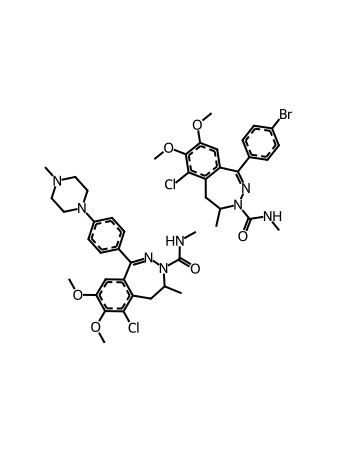 CNC(=O)N1N=C(c2ccc(Br)cc2)c2cc(OC)c(OC)c(Cl)c2CC1C.CNC(=O)N1N=C(c2ccc(N3CCN(C)CC3)cc2)c2cc(OC)c(OC)c(Cl)c2CC1C